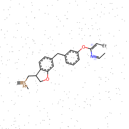 C#[SH](C)CC1COc2cc(Cc3cccc(OC(=C/CC)/N=C\C)c3)ccc21